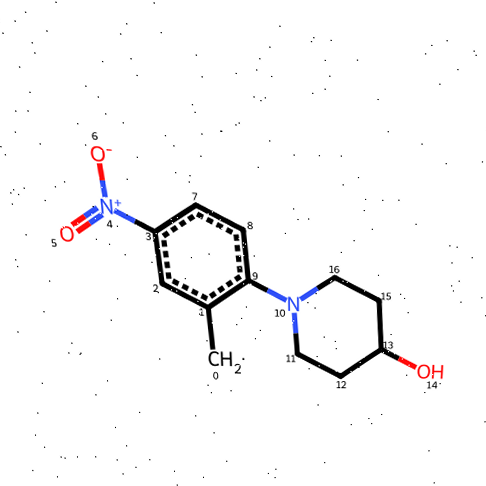 [CH2]c1cc([N+](=O)[O-])ccc1N1CCC(O)CC1